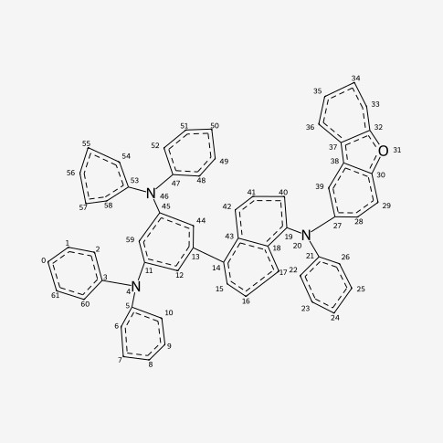 c1ccc(N(c2ccccc2)c2cc(-c3cccc4c(N(c5ccccc5)c5ccc6oc7ccccc7c6c5)cccc34)cc(N(c3ccccc3)c3ccccc3)c2)cc1